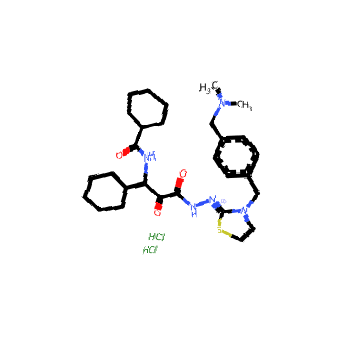 CN(C)Cc1ccc(CN2CCS/C2=N\NC(=O)C(=O)C(NC(=O)C2CCCCC2)C2CCCCC2)cc1.Cl.Cl